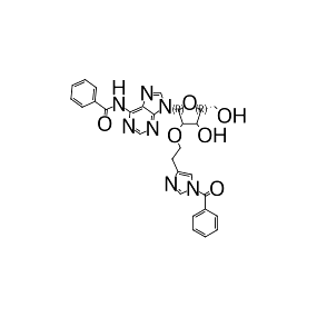 O=C(Nc1ncnc2c1ncn2[C@@H]1O[C@H](CO)C(O)C1OCCc1cn(C(=O)c2ccccc2)cn1)c1ccccc1